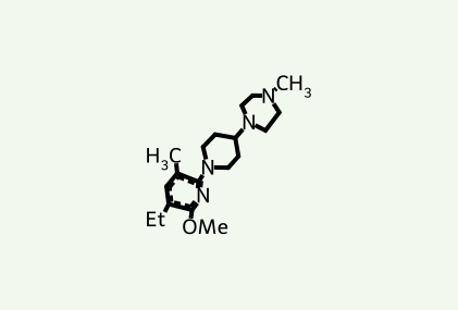 CCc1cc(C)c(N2CCC(N3CCN(C)CC3)CC2)nc1OC